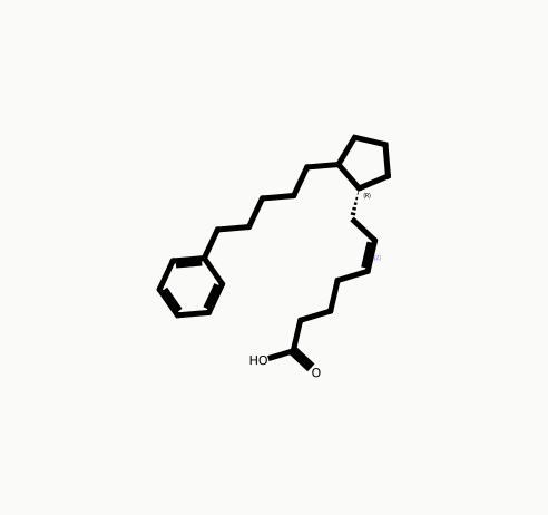 O=C(O)CCC/C=C\C[C@H]1CCCC1CCCCCc1ccccc1